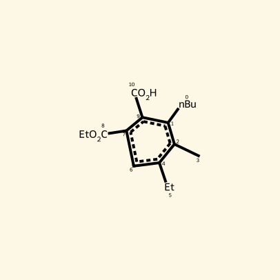 CCCCc1c(C)c(CC)cc(C(=O)OCC)c1C(=O)O